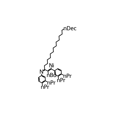 CCCCCCCCCCCCCCCCCCCCCCCC(=Nc1ccc(CCC)c(CCC)c1)C(CCCC)=[C]([Ni])c1ccc(CCC)c(CCC)c1